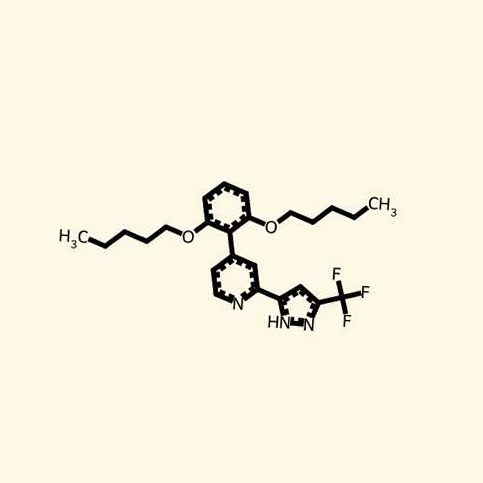 CCCCCOc1cccc(OCCCCC)c1-c1ccnc(-c2cc(C(F)(F)F)n[nH]2)c1